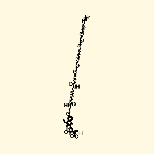 CCc1c2c(nc3ccc(OCCCNC(=O)OCCSSCCNC(=O)CCOCCOCCOCCOCCOCCOCCOCCOCCOCCN=[N+]=[N-])cc13)-c1cc3c(c(=O)n1C2)COC(=O)[C@]3(O)CC